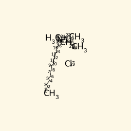 CCCCCCCCCCCCCCCCCC[N+](C)(C)CC(CC)CCCC.[Cl-]